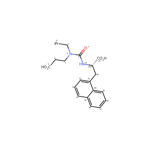 CC(C)CN(CCC(=O)O)C(=O)N[C@@H](Cc1cccc2ccccc12)C(=O)O